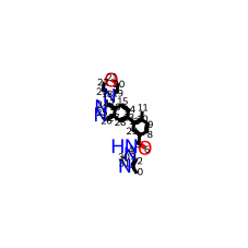 Cc1cn(NC(=O)c2ccc(C)c(-c3ccc4c(N5CCOCC5)nncc4c3)c2)cn1